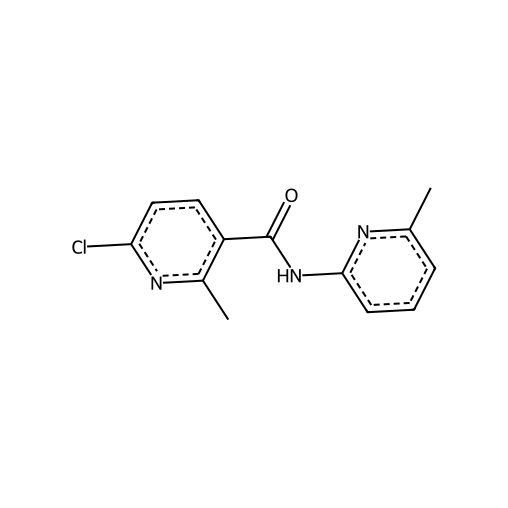 Cc1cccc(NC(=O)c2ccc(Cl)nc2C)n1